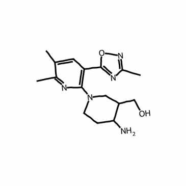 Cc1noc(-c2cc(C)c(C)nc2N2CCC(N)C(CO)C2)n1